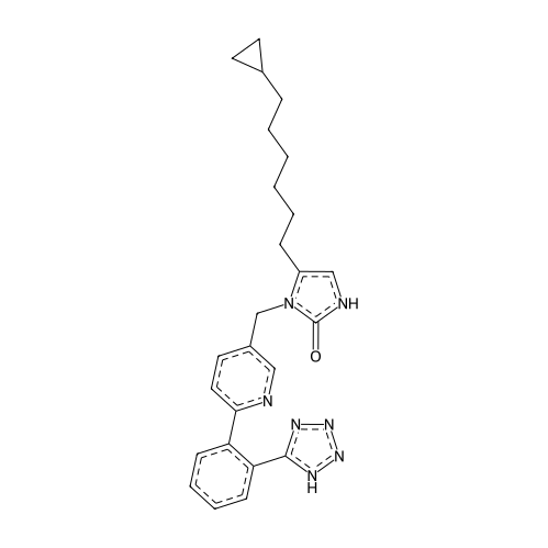 O=c1[nH]cc(CCCCCCC2CC2)n1Cc1ccc(-c2ccccc2-c2nnn[nH]2)nc1